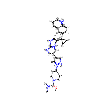 CN(C)C(=O)N1CCC(n2cc(-c3cnc4ncc(C5(c6ccc7ncccc7c6)CC5)n4c3)cn2)CC1